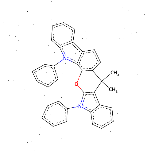 CC1(C)c2ccc3c4ccccc4n(-c4ccccc4)c3c2Oc2c1c1ccccc1n2-c1ccccc1